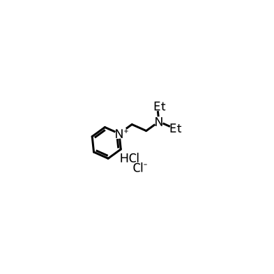 CCN(CC)CC[n+]1ccccc1.Cl.[Cl-]